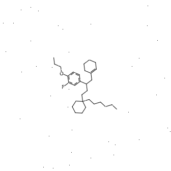 CCCCCCC1(CCC(CC2=CCCCC2)c2ccc(OCCC)c(F)c2)CCCCC1